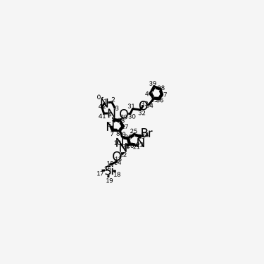 CN1CCN(c2ncc(-c3nn(COCC[Si](C)(C)C)c4cnc(Br)cc34)cc2OCCCOCc2ccccc2)CC1